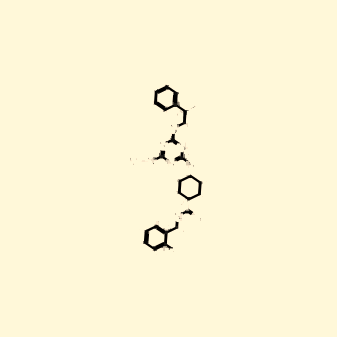 CNc1nc(NC[C@H](C)c2ccccc2)nc(N[C@H]2CC[C@@H](C(=O)NCc3ccccc3F)CC2)n1